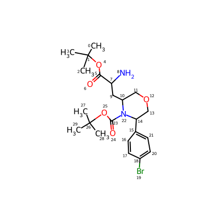 CC(C)(C)OC(=O)C(N)CC1COCC(c2ccc(Br)cc2)N1C(=O)OC(C)(C)C